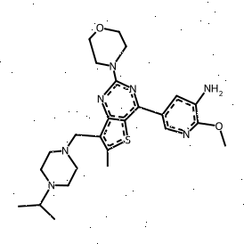 COc1ncc(-c2nc(N3CCOCC3)nc3c(CN4CCN(C(C)C)CC4)c(C)sc23)cc1N